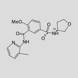 COc1ccc(S(=O)(=O)N[C@H]2CCOC2)cc1C(=O)Nc1ncccc1C